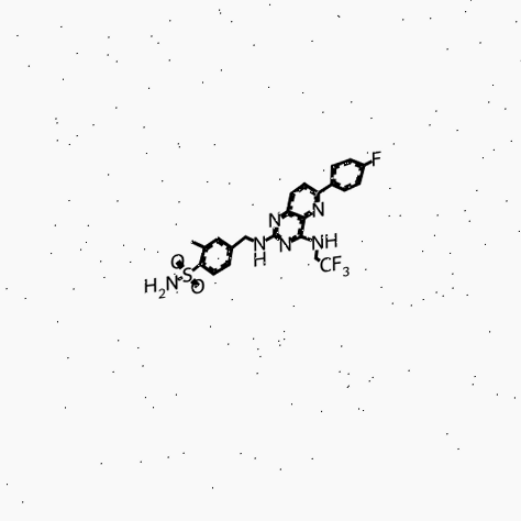 Cc1cc(CNc2nc(NCC(F)(F)F)c3nc(-c4ccc(F)cc4)ccc3n2)ccc1S(N)(=O)=O